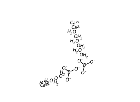 O.O.O.O.O.O.O.O.O.O.[Ca+2].[Ca+2].[Ca+2].[O-]B([O-])[O-].[O-]B([O-])[O-]